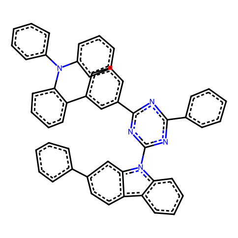 c1ccc(-c2ccc3c4ccccc4n(-c4nc(-c5ccccc5)nc(-c5cccc(-c6ccccc6N(c6ccccc6)c6ccccc6)c5)n4)c3c2)cc1